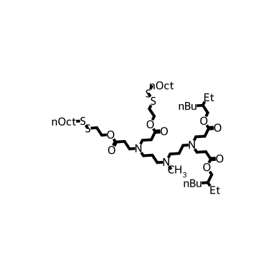 CCCCCCCCSSCCOC(=O)CCN(CCCN(C)CCCN(CCC(=O)OCC(CC)CCCC)CCC(=O)OCC(CC)CCCC)CCC(=O)OCCSSCCCCCCCC